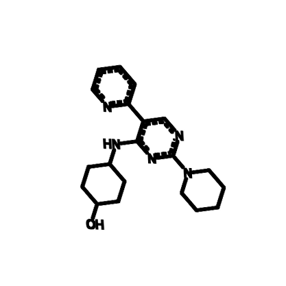 OC1CCC(Nc2nc(N3CCCCC3)ncc2-c2ccccn2)CC1